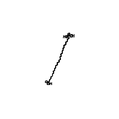 O=C(O)CCCCCCCCCCCCCCCCCCCCCCCCCCCCCCCP(=O)(O)O